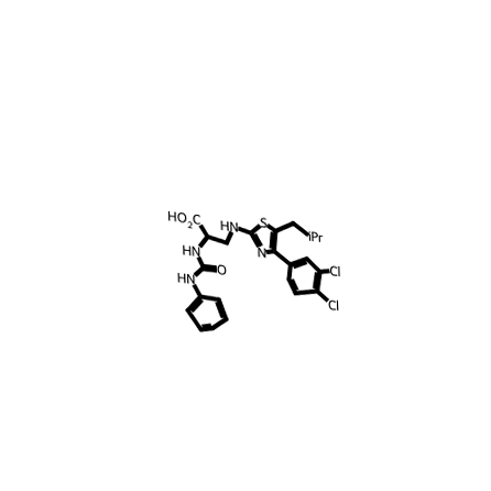 CC(C)Cc1sc(NCC(NC(=O)Nc2ccccc2)C(=O)O)nc1-c1ccc(Cl)c(Cl)c1